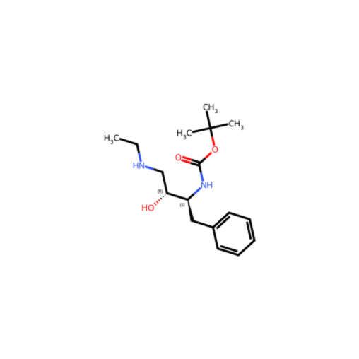 CCNC[C@@H](O)[C@H](Cc1ccccc1)NC(=O)OC(C)(C)C